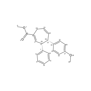 COC(=O)C1=C[C@@H](c2ccccc2)[C@@H](c2ccc(OC)cc2)C=CC1